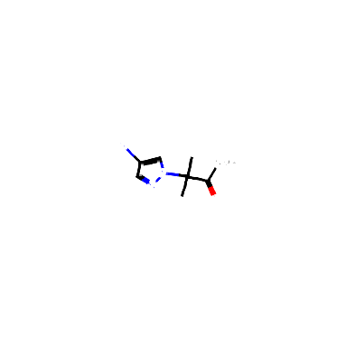 CNC(=O)C(C)(C)n1cc(N)cn1